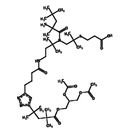 CC(=O)OCC(COC(=O)C(C)(C)CC(C)(C)n1cc(CCCC(=O)NCCC(C)(C)N(CC(C)(C)SCCC(=O)O)C(=O)C(C)(N)CC(C)(C)C)nn1)OC(C)=O